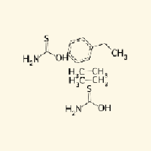 CC.CC.CCc1ccccc1.NC(O)=S.NC(O)=S